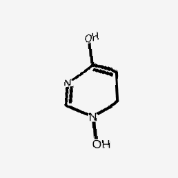 OC1=CCN(O)C=N1